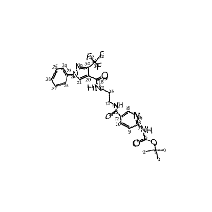 CC(C)(C)OC(=O)Nc1ccc(C(=O)NCCNC(=O)c2cn(-c3ccccc3)nc2C(F)(F)F)cn1